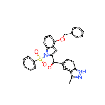 Cc1n[nH]c2ccc(C(=O)c3cc4c(OCc5ccccc5)cccc4n3S(=O)(=O)c3ccccc3)cc12